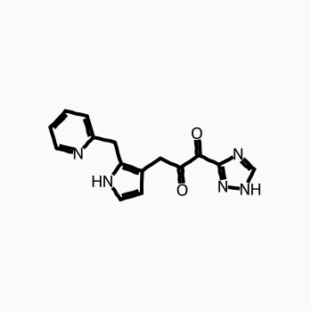 O=C(Cc1cc[nH]c1Cc1ccccn1)C(=O)c1nc[nH]n1